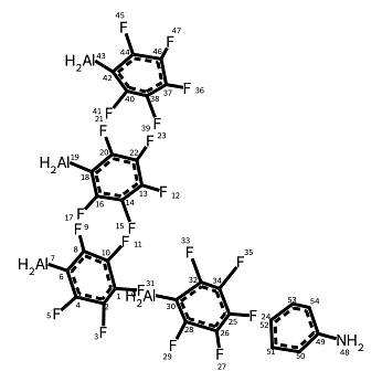 Fc1c(F)c(F)[c]([AlH2])c(F)c1F.Fc1c(F)c(F)[c]([AlH2])c(F)c1F.Fc1c(F)c(F)[c]([AlH2])c(F)c1F.Fc1c(F)c(F)[c]([AlH2])c(F)c1F.Nc1ccccc1